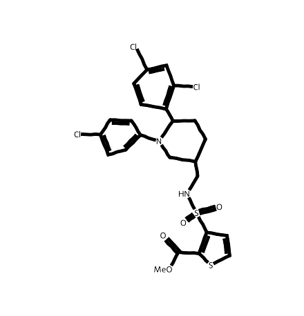 COC(=O)c1sccc1S(=O)(=O)NCC1CCC(c2ccc(Cl)cc2Cl)N(c2ccc(Cl)cc2)C1